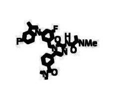 CN[C@@H](C)C(=O)Nc1ncc(-c2cccc(C(=O)N(C)C)c2)n(Cc2cc(F)cc(-n3cc(C)c4cc(F)ccc43)c2)c1=O